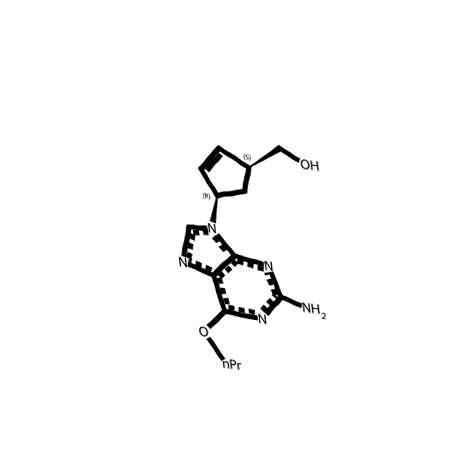 CCCOc1nc(N)nc2c1ncn2[C@H]1C=C[C@@H](CO)C1